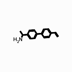 C=Cc1ccc(-c2ccc(C(C)N)cc2)cc1